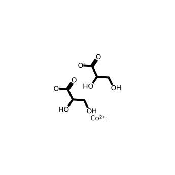 O=C([O-])C(O)CO.O=C([O-])C(O)CO.[Co+2]